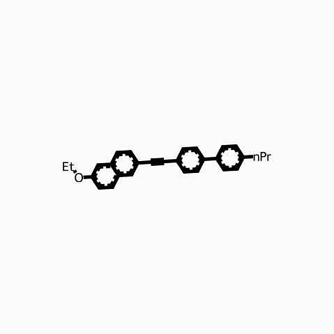 CCCc1ccc(-c2ccc(C#Cc3ccc4cc(OCC)ccc4c3)cc2)cc1